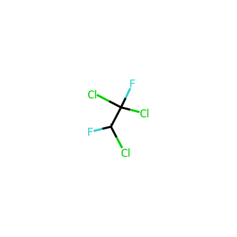 F[C](Cl)C(F)(Cl)Cl